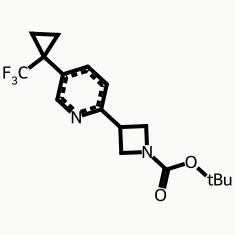 CC(C)(C)OC(=O)N1CC(c2ccc(C3(C(F)(F)F)CC3)cn2)C1